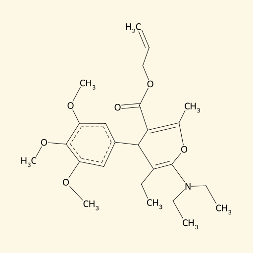 C=CCOC(=O)C1=C(C)OC(N(CC)CC)=C(CC)C1c1cc(OC)c(OC)c(OC)c1